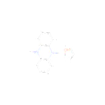 C=CC.CN1c2ccccc2N(C)c2ccccc21.O=C(O)O